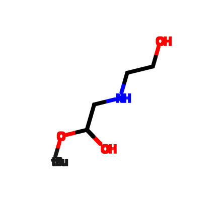 CC(C)(C)OC(O)CNCCO